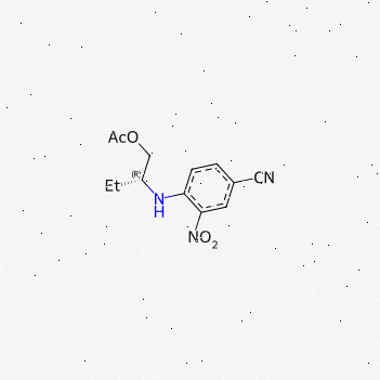 CC[C@H](COC(C)=O)Nc1ccc(C#N)cc1[N+](=O)[O-]